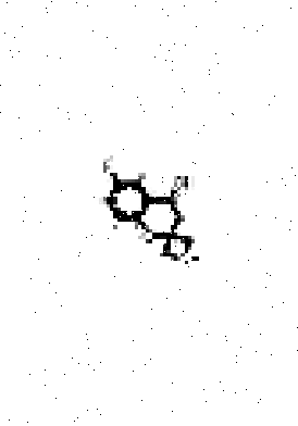 OC1CC2(CNC2)Oc2ccc(F)cc21